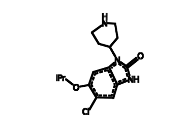 CC(C)Oc1cc2c(cc1Cl)[nH]c(=O)n2C1CCNCC1